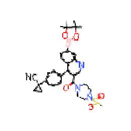 CC1(C)OB(c2ccc3c(-c4ccc(C5(C#N)CC5)cc4)c(C(=O)N4CCN(S(C)(=O)=O)CC4)cnc3c2)OC1(C)C